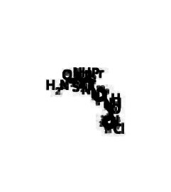 CCCc1cc(N2CCC(NC[C@@H](O)c3cccc(Cl)n3)CC2)nc2c1C(N)C(C(N)=O)S2